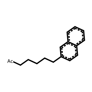 CC(=O)CCCCCc1ccc2ccccc2c1